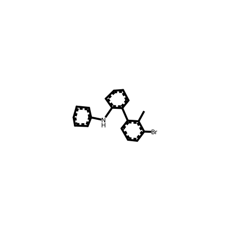 Cc1c(Br)cccc1-c1ccccc1Nc1ccccc1